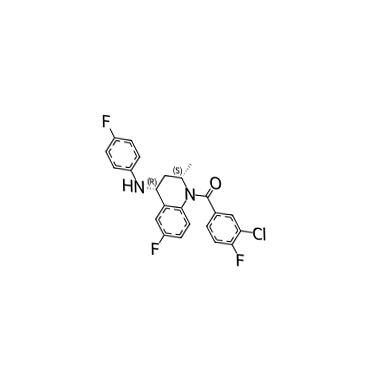 C[C@H]1C[C@@H](Nc2ccc(F)cc2)c2cc(F)ccc2N1C(=O)c1ccc(F)c(Cl)c1